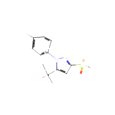 CC(C)(O)c1cc(S(C)(=O)=O)nn1-c1ccc(F)cc1